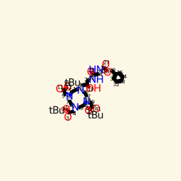 CC(C)(C)OC(=O)CN1CCN(CC(=O)OC(C)(C)C)CCN(CC(O)CNC(=O)CNC(=O)OCc2ccccc2)CCN(CC(=O)OC(C)(C)C)CC1